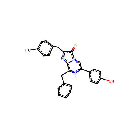 O=c1c(Cc2ccc(C(F)(F)F)cc2)nc2c(Cc3ccccc3)[nH]c(-c3ccc(O)cc3)cn1-2